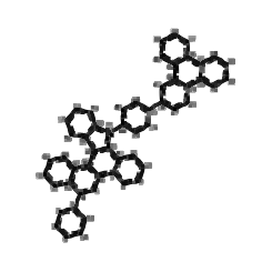 c1ccc(-c2cc3c4ccccc4c4c(c5ccccc5n4-c4ccc(-c5ccc6c7ccccc7c7ccccc7c6c5)cc4)c3c3ccccc23)cc1